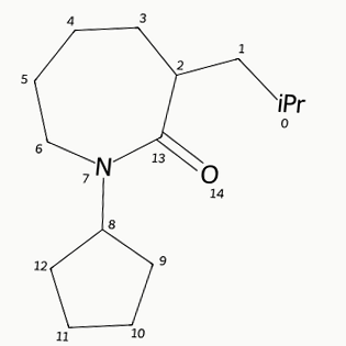 CC(C)CC1CCCCN(C2CCCC2)C1=O